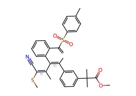 C=C(c1ccccc1C(=C(\C)c1cccc(C(C)(C)C(=O)OC)c1)/C(C)=C(\C#N)SC)S(=O)(=O)c1ccc(C)cc1